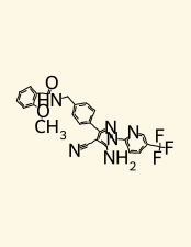 COc1ccccc1C(=O)NCc1ccc(-c2nn(-c3ccc(C(F)(F)F)cn3)c(N)c2C#N)cc1